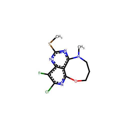 CSc1nc2c3c(nc(Cl)c(F)c3n1)OCCCN2C